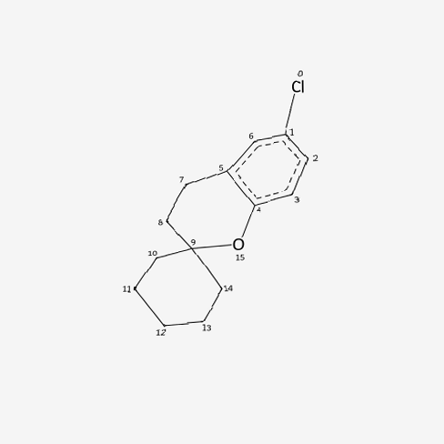 Clc1ccc2c(c1)CCC1(CCCCC1)O2